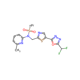 CCCS(=O)(=O)N(Cc1ncc(-c2nnc(C(F)F)o2)s1)c1cccc(C)n1